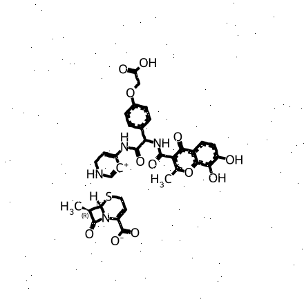 C[C@@H]1C(=O)N2C(C(=O)[O-])=CCS[C@@H]12.Cc1oc2c(O)c(O)ccc2c(=O)c1C(=O)NC(C(=O)NC1=CCNC=[C+]1)c1ccc(OCC(=O)O)cc1